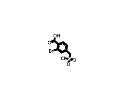 O=C(O)c1ccc(CS(=O)(=O)Cl)cc1Br